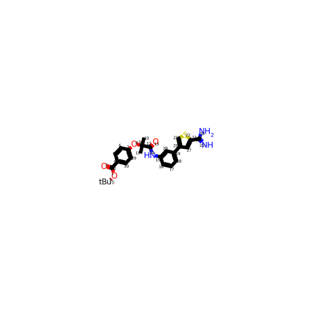 CC(C)(C)OC(=O)c1ccc(OC(C)(C)C(=O)Nc2cccc(-c3csc(C(=N)N)c3)c2)cc1